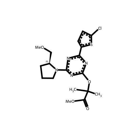 COC[C@@H]1CCCN1c1nc(OC(C)(C)C(=O)OC)nc(-c2ccc(Cl)s2)n1